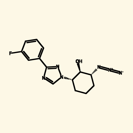 [N-]=[N+]=N[C@@H]1CCC[C@H](n2cnc(-c3cccc(F)c3)n2)[C@H]1O